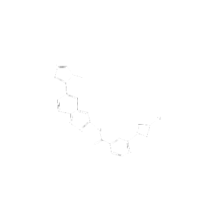 Cn1cncc1-c1ccc2nnc(NC(=O)c3ccnc(N4CC(N)C4)c3)cc2c1